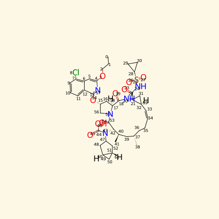 CCCOc1cc2c(Cl)cccc2c(O[C@@H]2C[C@H]3C(=O)N[C@]4(C(=O)NS(=O)(=O)C5CC5)C[C@H]4/C=C\CC[C@H](C)C[C@@H](C)[C@H](N(C(=O)O)C4C[C@@H]5C[C@H]5C4)C(=O)N3C2)n1